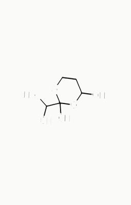 CC(C)C1(C)OCCC(O)O1